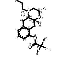 CCCN1C[C@H](C)O[C@@H]2Cc3c(cccc3OC(=O)C(F)(F)F)C[C@H]21